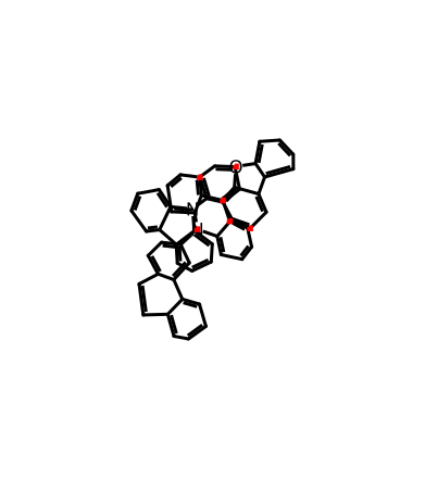 c1ccc(N(c2ccc3ccc4ccccc4c3c2)c2ccccc2-c2cccc3c2oc2ccccc23)c(-c2ccccc2-n2c3ccccc3c3ccccc32)c1